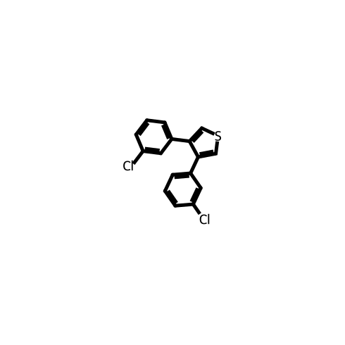 Clc1cccc(-c2cscc2-c2cccc(Cl)c2)c1